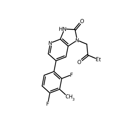 CCC(=O)Cn1c(=O)[nH]c2ncc(-c3ccc(F)c(C)c3F)cc21